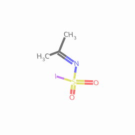 CC(C)=NS(=O)(=O)I